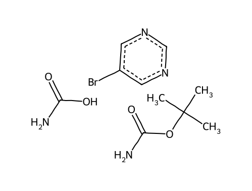 Brc1cncnc1.CC(C)(C)OC(N)=O.NC(=O)O